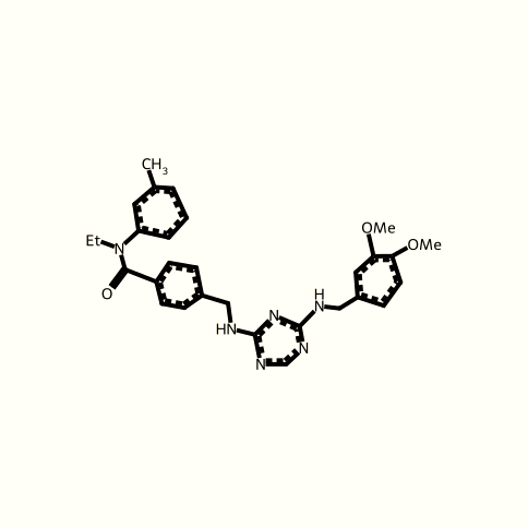 CCN(C(=O)c1ccc(CNc2ncnc(NCc3ccc(OC)c(OC)c3)n2)cc1)c1cccc(C)c1